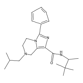 CC(C)CN1CCn2c(-c3ccccc3)nc(C(=O)NC(C)C(C)(C)C)c2C1